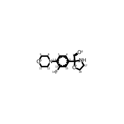 O=CC1(c2ccc(N3CCOCC3)c(F)c2)NCCO1